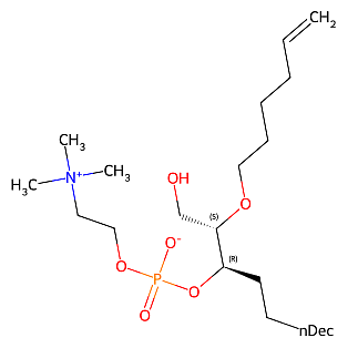 C=CCCCCO[C@@H](CO)[C@@H](CCCCCCCCCCCC)OP(=O)([O-])OCC[N+](C)(C)C